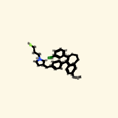 O=C(O)c1ccc2c(c1)CCCC(c1cccc(Cl)c1)=C2c1ccc(CC2CCN(CCCF)C2)cc1